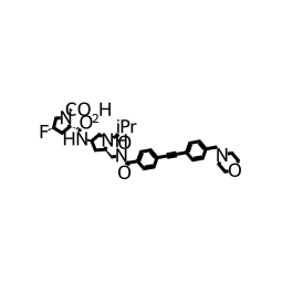 CC(C)C(=O)N1C[C@H](NC(=O)[C@@H]2C[C@H](F)CN2C(=O)O)C[C@@H]1CNC(=O)c1ccc(C#Cc2ccc(CN3CCOCC3)cc2)cc1